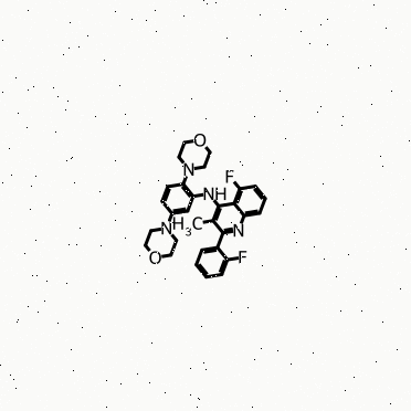 Cc1c(-c2ccccc2F)nc2cccc(F)c2c1Nc1cc(N2CCOCC2)ccc1N1CCOCC1